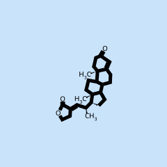 C[C@H](/C=C1\CCOC1=O)[C@H]1CCC2C3CCC4=CC(=O)CC[C@]4(C)C3CC[C@@]21C